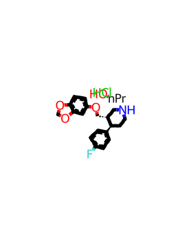 CCCO.Cl.Fc1ccc([C@@H]2CCNC[C@H]2COc2ccc3c(c2)OCO3)cc1